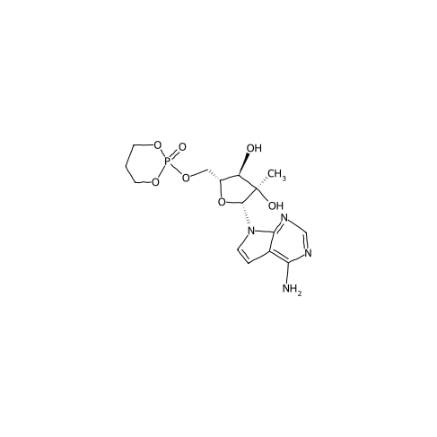 C[C@@]1(O)[C@H](O)[C@@H](COP2(=O)OCCCO2)O[C@H]1n1ccc2c(N)ncnc21